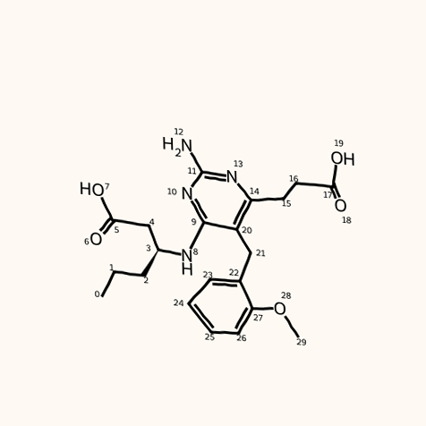 CCC[C@@H](CC(=O)O)Nc1nc(N)nc(CCC(=O)O)c1Cc1ccccc1OC